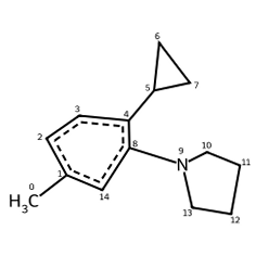 Cc1ccc(C2CC2)c(N2CCCC2)c1